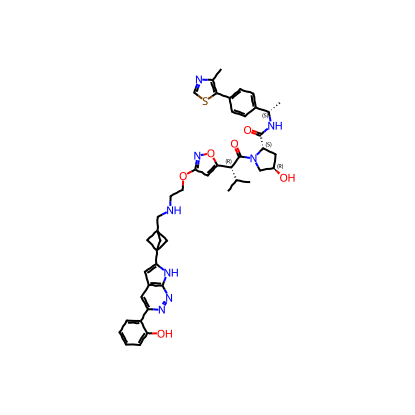 Cc1ncsc1-c1ccc([C@H](C)NC(=O)[C@@H]2C[C@@H](O)CN2C(=O)[C@@H](c2cc(OCCNCC34CC(c5cc6cc(-c7ccccc7O)nnc6[nH]5)(C3)C4)no2)C(C)C)cc1